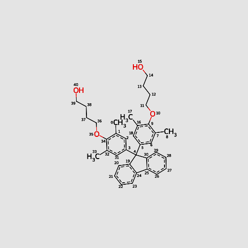 Cc1cc(C2(c3cc(C)c(OCCCCO)c(C)c3)c3ccccc3-c3ccccc32)cc(C)c1OCCCCO